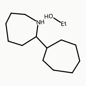 C1CCCC(C2CCCCCN2)CC1.CCO